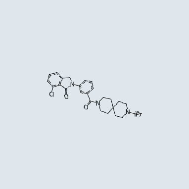 CC(C)N1CCC2(CCN(C(=O)c3cccc(N4Cc5cccc(Cl)c5C4=O)c3)CC2)CC1